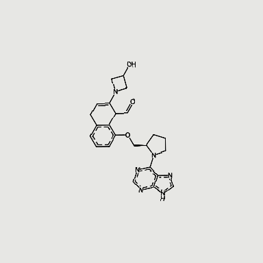 O=CC1C(N2CC(O)C2)=CCc2cccc(OC[C@H]3CCCN3c3ncnc4[nH]cnc34)c21